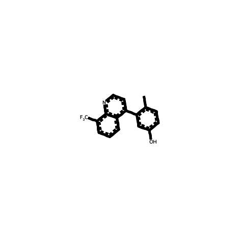 Cc1ccc(O)cc1-c1ccnc2c(C(F)(F)F)cccc12